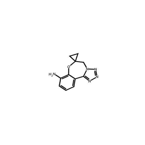 Nc1cccc2c1OC1(CC1)Cn1nnnc1-2